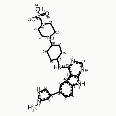 Cn1cc(-c2ccc3[nH]c4ncnc(NC5CCC(N6CCN(S(C)(=O)=O)CC6)CC5)c4c3c2)cn1